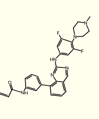 C=CC(=O)Nc1cccc(-c2cccc3cnc(Nc4cc(F)c(N5CCN(C)CC5)c(F)c4)nc23)c1